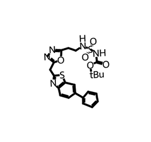 CC(C)(C)OC(=O)NS(=O)(=O)NCCc1nnc(Cc2nc3ccc(-c4ccccc4)cc3s2)o1